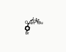 C[C@H](CNC(=O)c1ccc(Br)cc1)O[Si](C)(C)C(C)(C)C